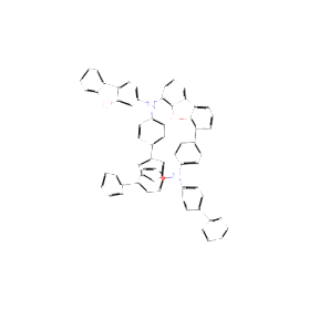 c1ccc(-c2ccc(N(c3ccc(-c4ccccc4)cc3)c3ccc(-c4cccc5c4oc4c(N(c6ccc(-c7ccccc7)cc6)c6ccc7c(c6)oc6ccccc67)cccc45)cc3)cc2)cc1